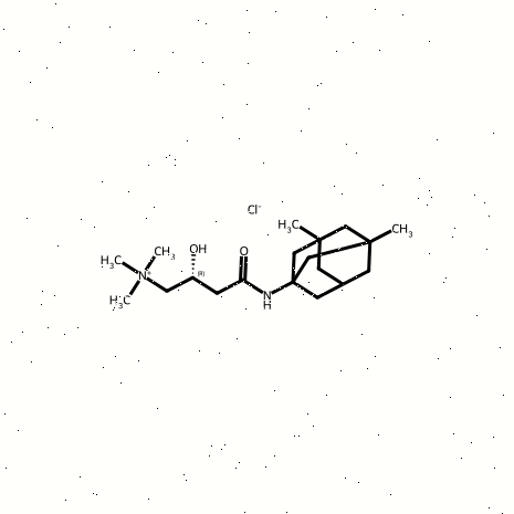 CC12CC3CC(C)(C1)CC(NC(=O)C[C@@H](O)C[N+](C)(C)C)(C3)C2.[Cl-]